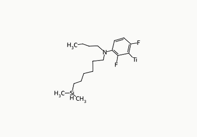 CCCCN(CCCCCC[SiH](C)C)c1ccc(F)[c]([Ti])c1F